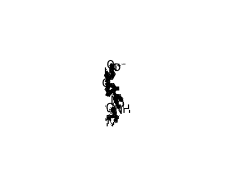 Cc1cc(Oc2ccc([N+](=O)[O-])nc2)cc(C)c1-c1csc(NC(=O)c2ccncc2)n1